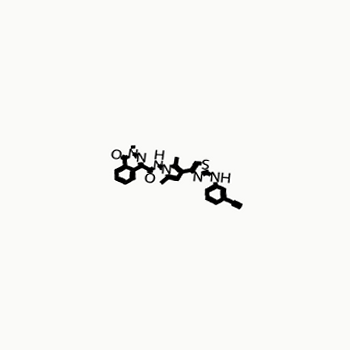 C#Cc1cccc(Nc2nc(-c3cc(C)n(NC(=O)c4nn(C)c(=O)c5ccccc45)c3C)cs2)c1